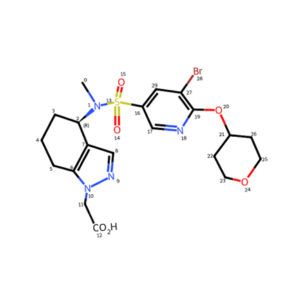 CN([C@@H]1CCCc2c1cnn2CC(=O)O)S(=O)(=O)c1cnc(OC2CCOCC2)c(Br)c1